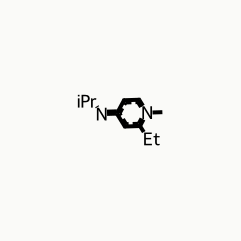 CCc1cc(=NC(C)C)ccn1C